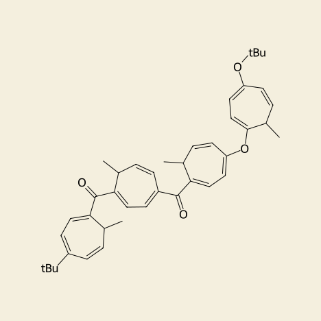 CC1C=CC(OC(C)(C)C)=CC=C1OC1=CC=C(C(=O)C2=CC=C(C(=O)C3=CC=C(C(C)(C)C)C=CC3C)C(C)C=C2)C(C)C=C1